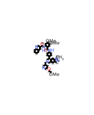 COCCOc1cncc(CN(CCc2ccc(NC(=O)c3cc(OC)c(OC)cc3NC(=O)c3cnc4ccccc4c3)cc2)Cc2ccc3c(cnn3C)c2)c1